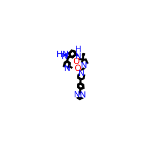 C#CC1(C(=O)Nc2ccc3[nH]nc(-c4ccnc(C)c4)c3c2)CCN(CC(=O)N2CC=C(c3ccc(-c4ncccn4)cc3)CC2)C1